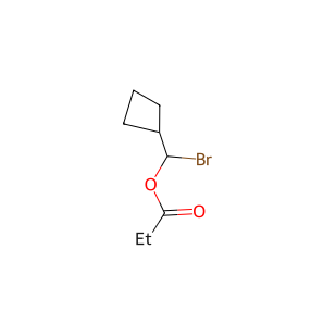 CCC(=O)OC(Br)C1CCC1